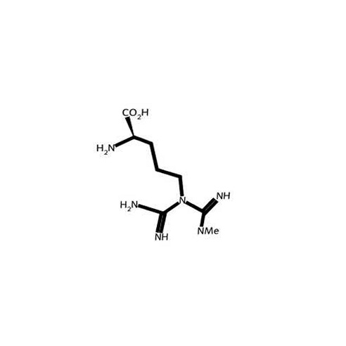 CNC(=N)N(CCC[C@@H](N)C(=O)O)C(=N)N